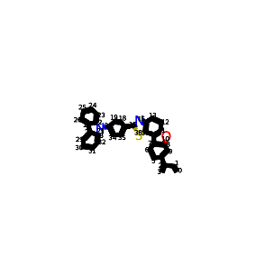 C=CC(=C)c1ccc2c(c1)oc1ccc3nc(-c4ccc(-n5c6ccccc6c6ccccc65)cc4)sc3c12